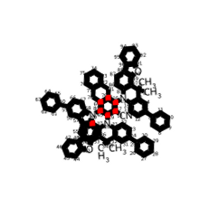 CC1(C)c2cc(-c3ccccc3)ccc2N(c2c(C#N)c(N3c4ccc(-c5ccccc5)cc4C(C)(C)c4c3ccc3c4oc4ccccc43)c(-n3c4ccccc4c4cc(-c5ccccc5)ccc43)c3c2C2c4ccccc4C3c3ccccc32)c2ccc3c(oc4ccccc43)c21